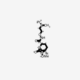 CON1C(=O)N2C[C@H]1CC[C@H]2C(=O)NOCCN(C)C(C)C